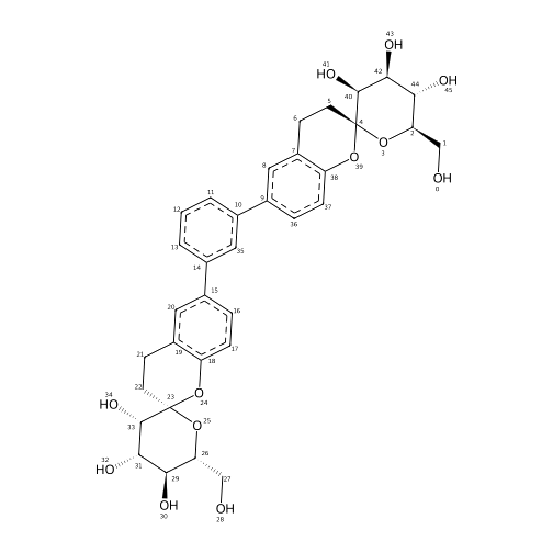 OC[C@H]1O[C@@]2(CCc3cc(-c4cccc(-c5ccc6c(c5)CC[C@]5(O6)O[C@H](CO)[C@@H](O)[C@H](O)[C@@H]5O)c4)ccc3O2)[C@@H](O)[C@@H](O)[C@@H]1O